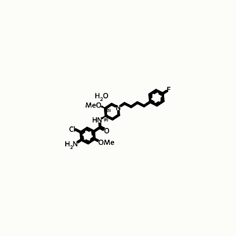 COc1cc(N)c(Cl)cc1C(=O)N[C@@H]1CCN(CCCCc2ccc(F)cc2)C[C@@H]1OC.O